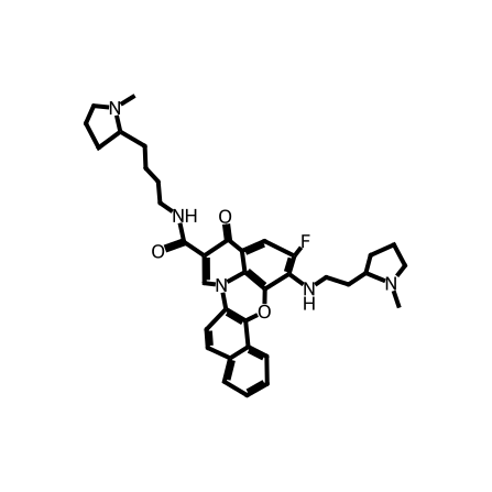 CN1CCCC1CCCCNC(=O)c1cn2c3c(c(NCCC4CCCN4C)c(F)cc3c1=O)Oc1c-2ccc2ccccc12